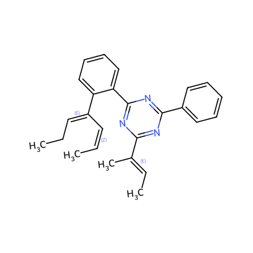 C/C=C\C(=C/CC)c1ccccc1-c1nc(/C(C)=C/C)nc(-c2ccccc2)n1